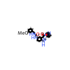 COc1cccc(CNC(=O)Nc2ccc3[nH]nc(C(=O)N4CCN5CCC4CC5)c3c2)c1